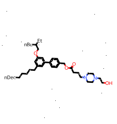 CCCCCCCCCCCCCCCc1cc(OCC(CC)CCCC)cc(-c2ccc(COC(=O)CCCN3CCN(CCO)CC3)cc2)c1